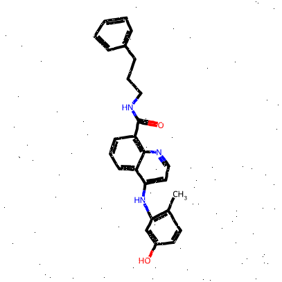 Cc1ccc(O)cc1Nc1ccnc2c(C(=O)NCCCc3ccccc3)cccc12